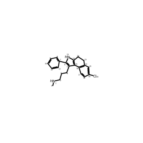 CNCCCc1c(-c2ccccc2)[nH]c2c1-c1ccc(Cl)cc1CC2